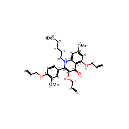 C=CCOc1ccc(-c2c(OCC=C)c(=O)c3c(OCC=C)cc(OC)cc3n2CCCCCCCCCCCCCC)cc1OC